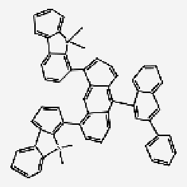 C[Si]1(C)c2ccccc2-c2cccc(-c3cccc4c(-c5cc(-c6ccccc6)cc6ccccc56)c5cccc(-c6cccc7c6[Si](C)(C)c6ccccc6-7)c5cc34)c21